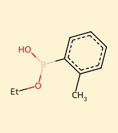 CCOB(O)c1ccccc1C